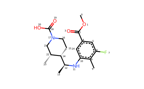 COC(=O)c1cc(F)c(C)c(N[C@@H](C)[C@H]2CCN(C(=O)O)C[C@H]2C)c1